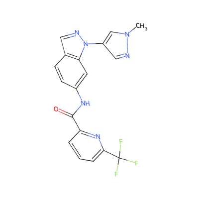 Cn1cc(-n2ncc3ccc(NC(=O)c4cccc(C(F)(F)F)n4)cc32)cn1